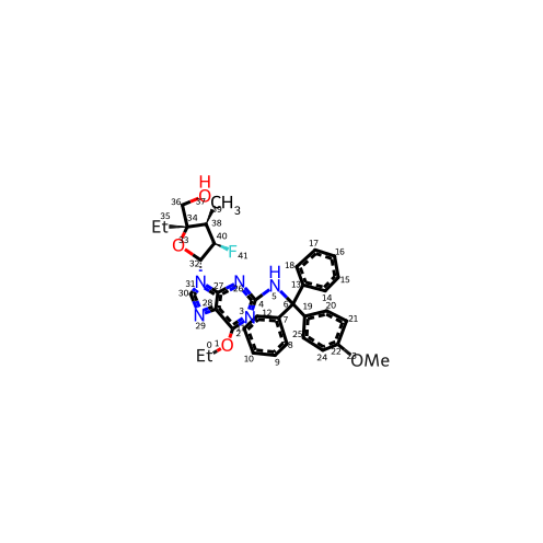 CCOc1nc(NC(c2ccccc2)(c2ccccc2)c2ccc(OC)cc2)nc2c1ncn2[C@@H]1O[C@](CC)(CO)[C@@H](C)[C@H]1F